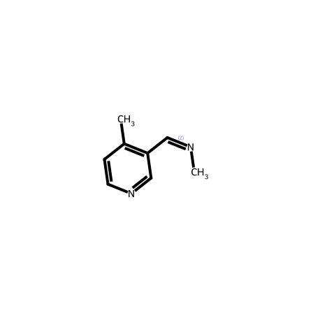 C/N=C\c1cnccc1C